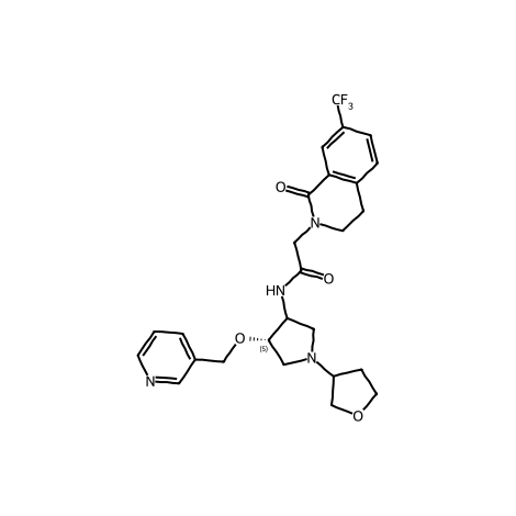 O=C(CN1CCc2ccc(C(F)(F)F)cc2C1=O)NC1CN(C2CCOC2)C[C@@H]1OCc1cccnc1